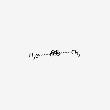 CCCCCCCCCCCCCCOC(=O)COCC(=S)OCCCCCCCCCCCCCC